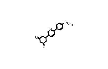 O=C1CC(=O)CC(c2ccc(-c3ccc(OC(F)(F)F)cc3)nc2)C1